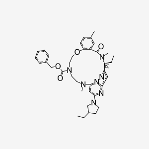 CCC1CCN(c2cc3n4nc(cc4n2)[C@H](CC)N(C)C(=O)c2cc(C)ccc2OCCN(C(=O)OCc2ccccc2)CCN3C)C1